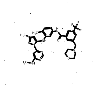 CNc1cc(-n2nc(C)cc2Nc2cc(NC(=O)c3cc(CN4CCOCC4)cc(C(F)(F)F)c3)ccc2C)ncn1